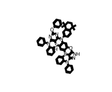 CC1(C)CCC(C)(C)c2cc(N3c4cc5c(cc4[SH]4c6ccccc6N(c6ccccc6)c6nc(Oc7ccccc7)nc3c64)B3c4ccccc4N(c4ccccc4)c4n[nH]c(c43)O5)ccc21